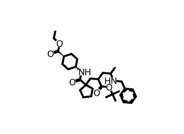 CCOC(=O)[C@H]1CC[C@@H](NC(=O)C2(CC(CC(C)NCc3ccccc3)C(=O)OC(C)(C)C)CCCC2)CC1